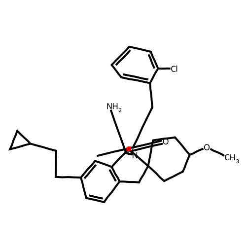 COC1CCC2(CC1)Cc1ccc(CCC3CC3)cc1C21N=C(N)N(Cc2ccccc2Cl)C1=O